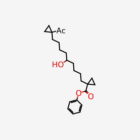 CC(=O)C1(CCCCC(O)CCCCC2(C(=O)Oc3ccccc3)CC2)CC1